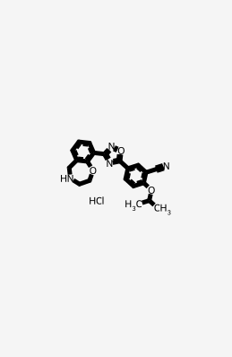 CC(C)Oc1ccc(-c2nc(-c3cccc4c3OCCNC4)no2)cc1C#N.Cl